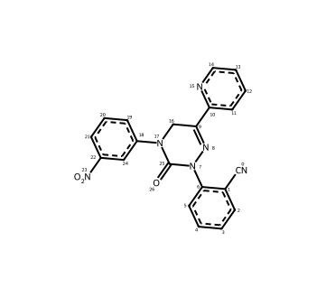 N#Cc1ccccc1N1N=C(c2ccccn2)CN(c2cccc([N+](=O)[O-])c2)C1=O